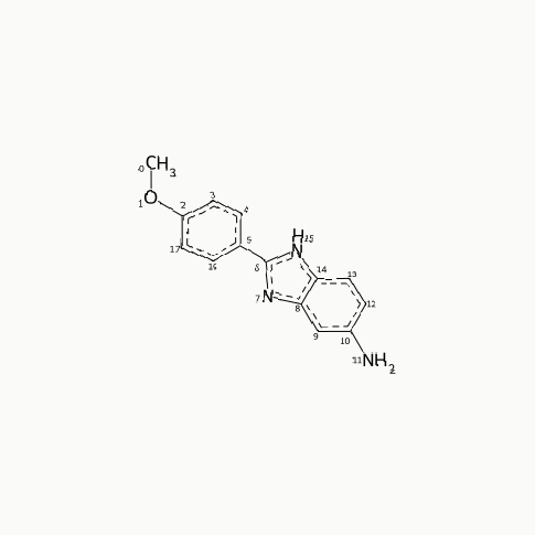 COc1ccc(-c2nc3cc(N)ccc3[nH]2)cc1